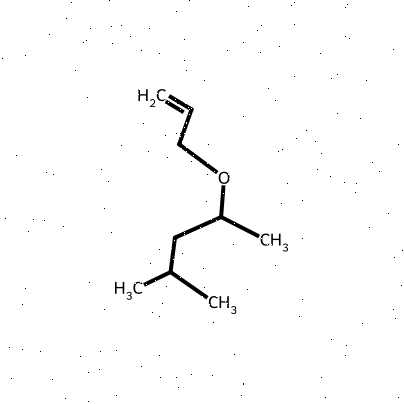 C=CCOC(C)CC(C)C